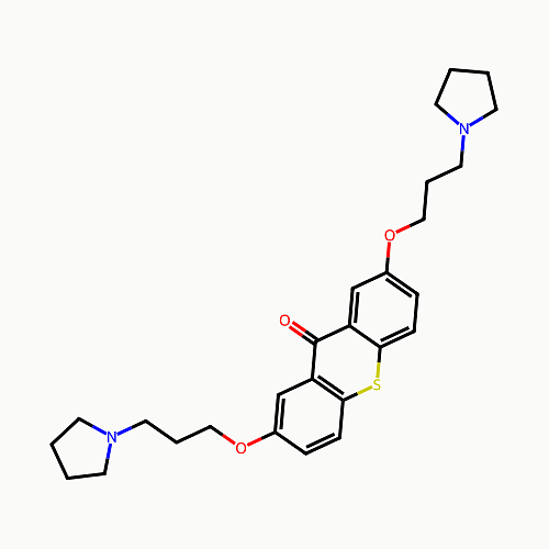 O=c1c2cc(OCCCN3CCCC3)ccc2sc2ccc(OCCCN3CCCC3)cc12